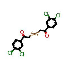 O=C(CSSCC(=O)c1ccc(Cl)c(Cl)c1)c1ccc(Cl)c(Cl)c1